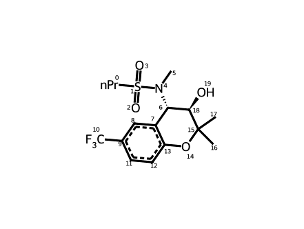 CCCS(=O)(=O)N(C)[C@H]1c2cc(C(F)(F)F)ccc2OC(C)(C)[C@@H]1O